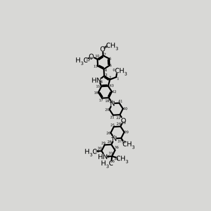 CCc1c(-c2ccc(OC)c(OC)c2)[nH]c2ccc(N3CCC(OC4CCN(C5CC(C)NC(C)(C)C5)C(C)C4)CC3)cc12